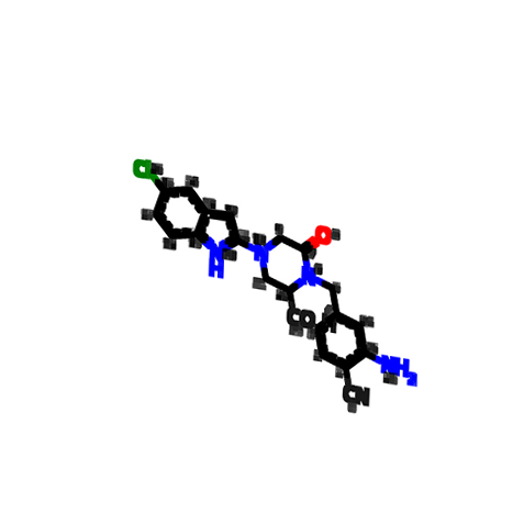 N#Cc1ccc(CN2C(=O)CN(c3cc4cc(Cl)ccc4[nH]3)CC2C(=O)O)cc1N